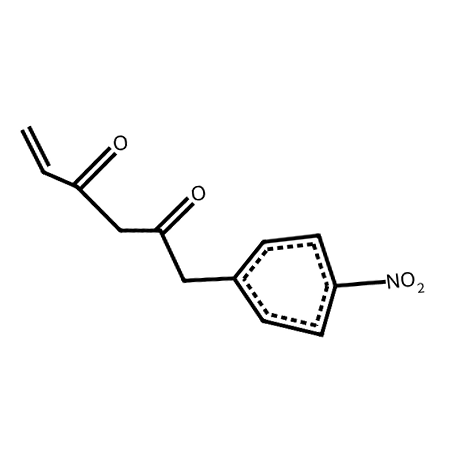 C=CC(=O)CC(=O)Cc1ccc([N+](=O)[O-])cc1